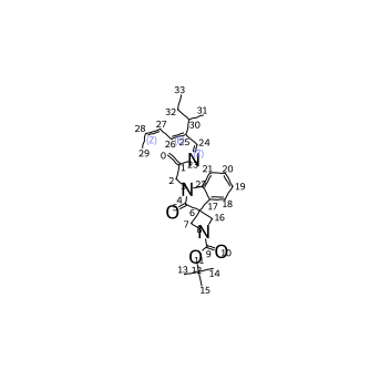 C=C(CN1C(=O)C2(CN(C(=O)OC(C)(C)C)C2)c2ccccc21)\N=C/C(=C/C=C\C)C(C)CC